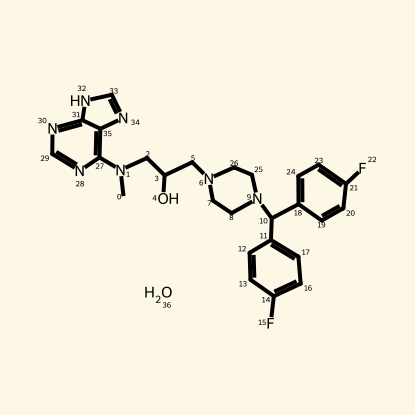 CN(CC(O)CN1CCN(C(c2ccc(F)cc2)c2ccc(F)cc2)CC1)c1ncnc2[nH]cnc12.O